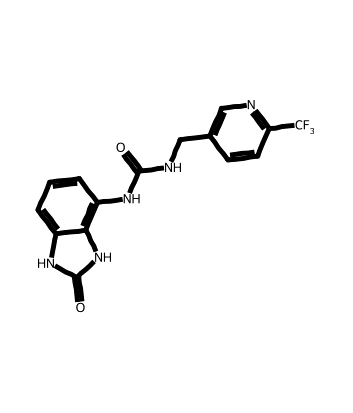 O=C(NCc1ccc(C(F)(F)F)nc1)Nc1cccc2[nH]c(=O)[nH]c12